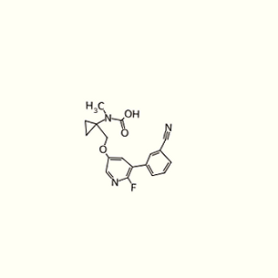 CN(C(=O)O)C1(COc2cnc(F)c(-c3cccc(C#N)c3)c2)CC1